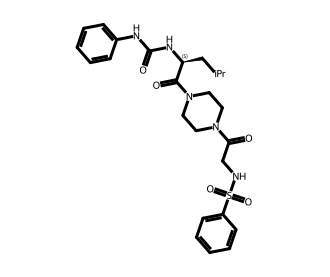 CC(C)C[C@H](NC(=O)Nc1ccccc1)C(=O)N1CCN(C(=O)CNS(=O)(=O)c2ccccc2)CC1